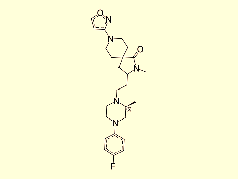 C[C@H]1CN(c2ccc(F)cc2)CCN1CCC1CC2(CCN(c3ccon3)CC2)C(=O)N1C